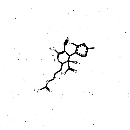 CC(=O)OCCCC1NC(C)=C(C#N)C(c2ccc(F)cc2Cl)C1(C)C(=O)O